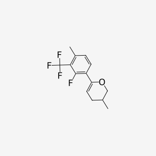 Cc1ccc(C2=CCC(C)CO2)c(F)c1C(F)(F)F